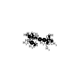 Cc1ncsc1-c1ccc([C@H](C)NC(=O)[C@@H]2C[C@@H](O)CN2C(=O)[C@@H](NC(=O)COc2ccc(-c3ccc(C4=N[C@@H](CC(=O)O)c5nnc(C)n5-c5sc(C)c(C)c54)cc3)cc2)C(C)(C)C)cc1